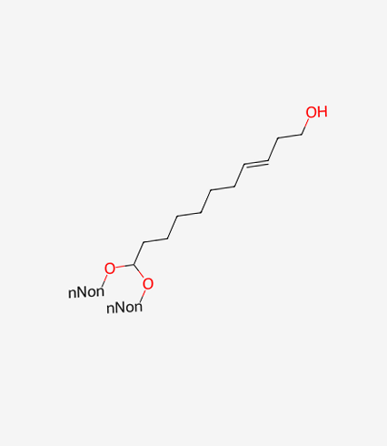 CCCCCCCCCOC(CCCCCC/C=C/CCO)OCCCCCCCCC